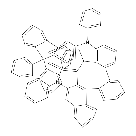 C1=CCC2C(=C1)c1c(N(c3ccccc3)c3ccccc3)cc3ccccc3c1-c1ccccc1-c1cccc(N(c3ccccc3)c3ccc4c(c3)-c3ccccc3C4(c3ccccc3)c3ccccc3)c12